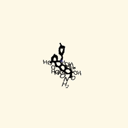 Cc1ccc(/C=C2\c3cccc(O)c3C(=O)C3=C(O)[C@@]4(O)C(=O)C(C(N)=O)=C(O)[C@H](N(C)C)[C@H]4[C@H](O)[C@H]32)cc1